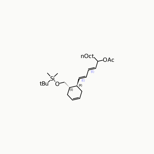 CCCCCCCCC(/C=C/C=C/[C@H]1CC=CC[C@@H]1CO[Si](C)(C)C(C)(C)C)OC(C)=O